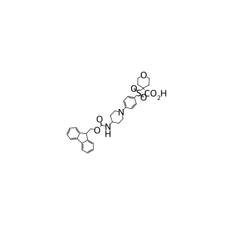 O=C(NC1CCN(c2ccc(S(=O)(=O)C3(C(=O)O)CCOCC3)cc2)CC1)OCC1c2ccccc2-c2ccccc21